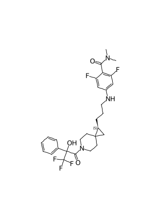 CN(C)C(=O)c1c(F)cc(NCCC[C@H]2CC23CCN(C(=O)C(O)(c2ccccc2)C(F)(F)F)CC3)cc1F